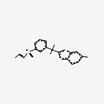 Cc1ccc2oc(C(C)(C)c3cccc(S(=O)(=O)/C=C/C#N)c3)nc2c1